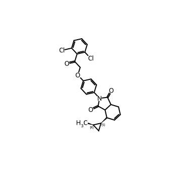 C[C@@H]1C[C@@H]1C1C=CCC2C(=O)N(c3ccc(OCC(=O)c4c(Cl)cccc4Cl)cc3)C(=O)C21